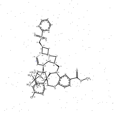 COC(=O)c1ccc2c(c1)N(C[C@@H]1CC[C@H]1[C@H](/C=C\[C@H]1CC[C@@H]1CS(=O)(=O)c1ncccn1)O[Si](C)(C)C(C)(C)C)C[C@@]1(CCCc3cc(Cl)ccc31)CO2